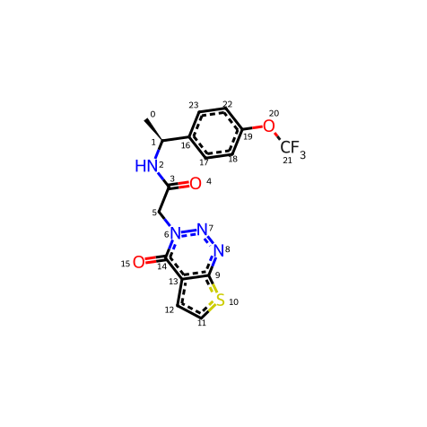 C[C@H](NC(=O)Cn1nnc2sccc2c1=O)c1ccc(OC(F)(F)F)cc1